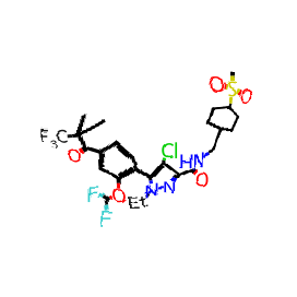 CCn1nc(C(=O)NCC2CCC(S(C)(=O)=O)CC2)c(Cl)c1-c1ccc(C(=O)C(C)(C)C(F)(F)F)cc1OC(F)F